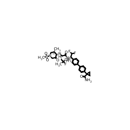 C[C@H]1CN(S(C)(=O)=O)CC(=O)[C@H]1N[C@@H](CC(C)(C)F)C(=O)N[C@@H](c1ccc(-c2ccc(C3(C(N)=O)CC3)cc2)cc1)C(F)F